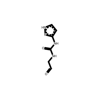 O=[C]CNC(=O)Nc1cc[nH]n1